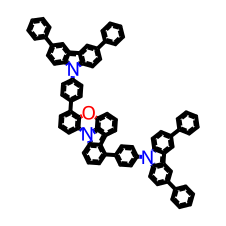 c1ccc(-c2ccc3c(c2)c2cc(-c4ccccc4)ccc2n3-c2ccc(-c3cccc4c3Oc3cccc5c6c(-c7ccc(-n8c9ccc(-c%10ccccc%10)cc9c9cc(-c%10ccccc%10)ccc98)cc7)cccc6n-4c35)cc2)cc1